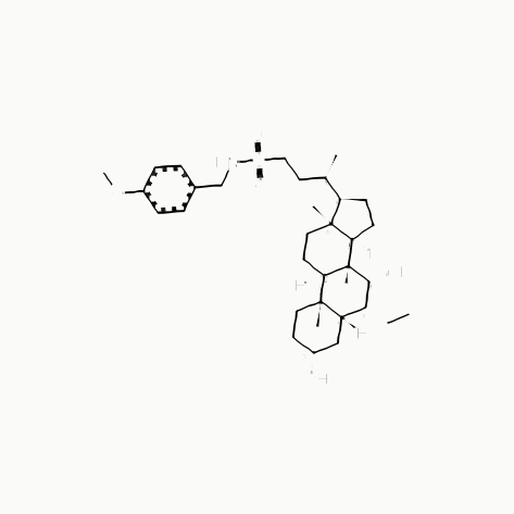 CC[C@H]1[C@@H](O)[C@@H]2[C@H](CC[C@]3(C)[C@@H]([C@H](C)CCS(=O)(=O)NCc4ccc(OC)cc4)CC[C@@H]23)[C@@]2(C)CC[C@@H](O)C[C@@H]12